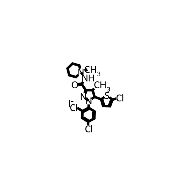 CC1C(C(=O)N[N+]2(C)CCCCC2)=NN(c2ccc(Cl)cc2Cl)C1c1ccc(Cl)s1.[I-]